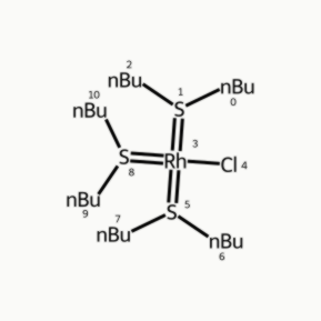 CCCC[S](CCCC)=[Rh]([Cl])(=[S](CCCC)CCCC)=[S](CCCC)CCCC